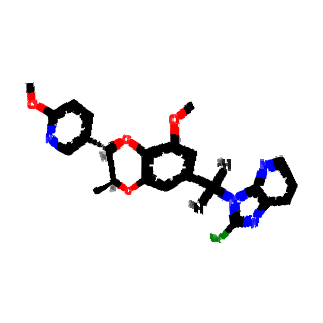 [2H]C([2H])(c1cc(OC)c2c(c1)O[C@@H](C)[C@H](c1ccc(OC)nc1)O2)n1c(Br)nc2cccnc21